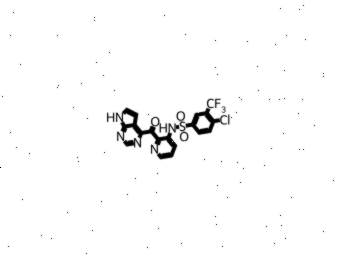 O=C(c1ncccc1NS(=O)(=O)c1ccc(Cl)c(C(F)(F)F)c1)c1ncnc2[nH]ccc12